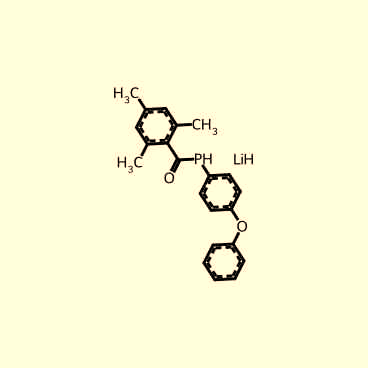 Cc1cc(C)c(C(=O)Pc2ccc(Oc3ccccc3)cc2)c(C)c1.[LiH]